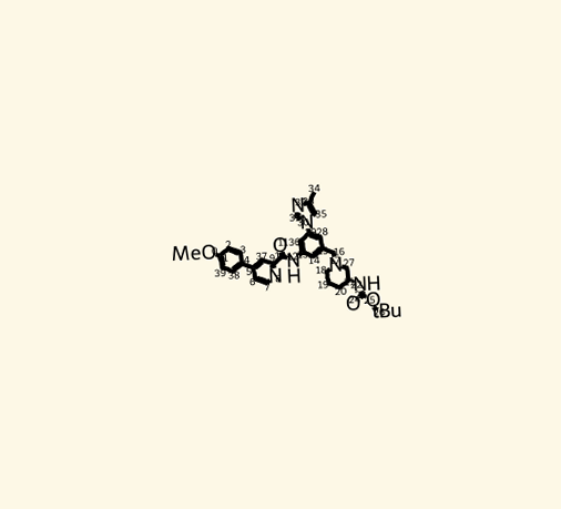 COc1ccc(-c2ccnc(C(=O)Nc3cc(CN4CCC[C@H](NC(=O)OC(C)(C)C)C4)cc(-n4cnc(C)c4)c3)c2)cc1